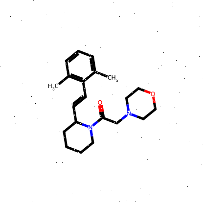 Cc1cccc(C)c1/C=C/C1CCCCN1C(=O)CN1CCOCC1